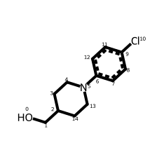 OCC1CCN(c2ccc(Cl)cc2)CC1